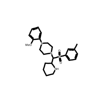 COc1ccccc1N1CCN(C(C2CCCCN2)S(=O)(=O)c2cccc(C)c2)CC1